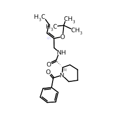 CC/C=C(/CNC(=O)[C@@H]1CCCCN1C(=O)c1ccccc1)OC(C)(C)C